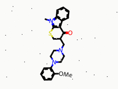 COc1ccccc1N1CCN(CC2CSc3c(c4ccccc4n3C)C2=O)CC1